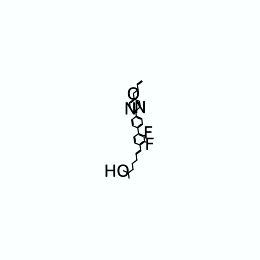 C=CCOc1cnc(-c2ccc(-c3ccc(C=CCCCC(C)O)c(F)c3F)cc2)nc1